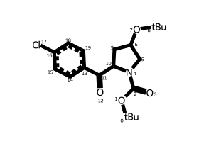 CC(C)(C)OC(=O)N1CC(OC(C)(C)C)CC1C(=O)c1ccc(Cl)cc1